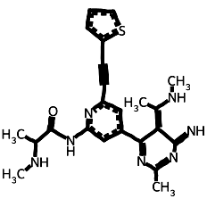 CN/C(C)=C1\C(=N)N=C(C)N=C1c1cc(C#Cc2cccs2)nc(NC(=O)C(C)NC)c1